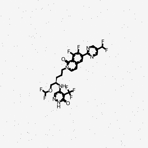 O=c1[nH]ncc(N[C@H](CCCn2ccc3cc(-c4ncc(C(F)F)cn4)c(F)c(F)c3c2=O)COC(F)F)c1C(F)(F)F